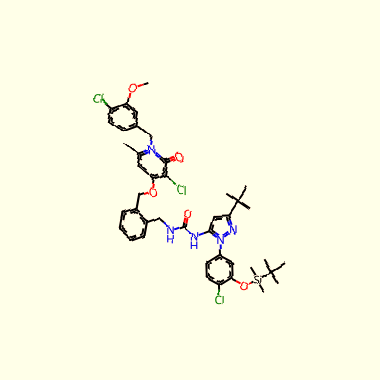 COc1cc(Cn2c(C)cc(OCc3ccccc3CNC(=O)Nc3cc(C(C)(C)C)nn3-c3ccc(Cl)c(O[Si](C)(C)C(C)(C)C)c3)c(Cl)c2=O)ccc1Cl